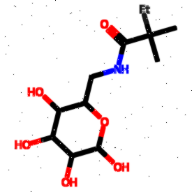 CCC(C)(C)C(=O)NCC1OC(O)C(O)C(O)C1O